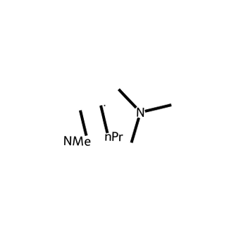 CN(C)C.CNC.[CH2]CCC